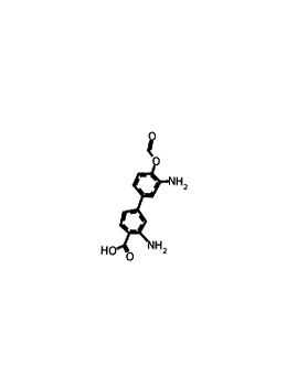 Nc1cc(-c2ccc(C(=O)O)c(N)c2)ccc1OC=O